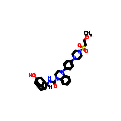 COCCS(=O)(=O)N1CCN(c2ccc(N3CCN(C(=O)N[C@H]4C5CC6CC4C[C@@](O)(C6)C5)c4ccccc43)cc2)CC1